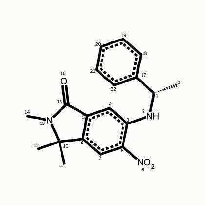 C[C@H](Nc1cc2c(cc1[N+](=O)[O-])C(C)(C)N(C)C2=O)c1ccccc1